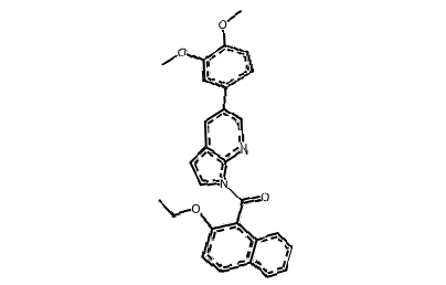 CCOc1ccc2ccccc2c1C(=O)n1ccc2cc(-c3ccc(OC)c(OC)c3)cnc21